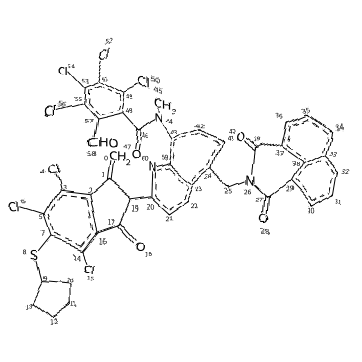 C=C1c2c(Cl)c(Cl)c(SC3CCCC3)c(Cl)c2C(=O)C1c1ccc2c(CN3C(=O)c4cccc5cccc(c45)C3=O)ccc(N(C)C(=O)c3c(Cl)c(Cl)c(Cl)c(Cl)c3C=O)c2n1